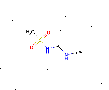 CCCN[CH]NS(C)(=O)=O